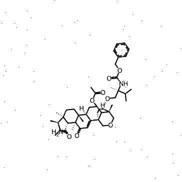 CC(=O)O[C@@H]1C[C@@]23COC[C@](C)([C@@H]2CC[C@H]2C3=CC(=O)[C@@]3(C)[C@H](C(N)=O)[C@@](C)([C@H](C)C(C)C)CC[C@]23C)[C@H]1OC[C@@](C)(NC(=O)OCc1ccccc1)C(C)C